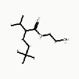 CC(C)C(CCC(C)(C)C)C(=O)OCCO